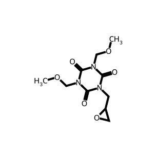 COCn1c(=O)n(COC)c(=O)n(CC2CO2)c1=O